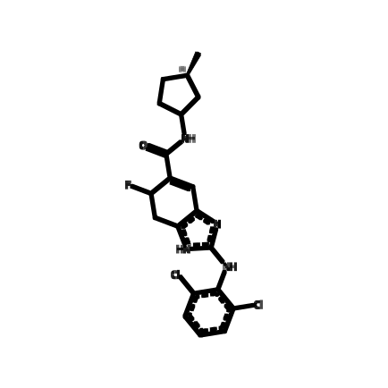 C[C@@H]1CCC(NC(=O)C2=Cc3nc(Nc4c(Cl)cccc4Cl)[nH]c3CC2F)C1